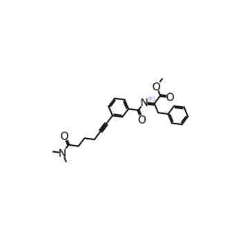 COC(=O)/C(Cc1ccccc1)=N/C(=O)c1cccc(C#CCCCC(=O)N(C)C)c1